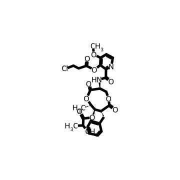 COc1ccnc(C(=O)N[C@H]2COC(=O)[C@H](Cc3ccccc3)[C@@H](OC(=O)C(C)C)[C@H](C)OC2=O)c1OC(=O)CCCl